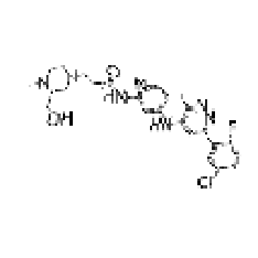 Cc1nnc(-c2cc(Cl)ccc2F)cc1Nc1ccnc(NC(=O)CCN2CCN(C)C(CO)C2)c1